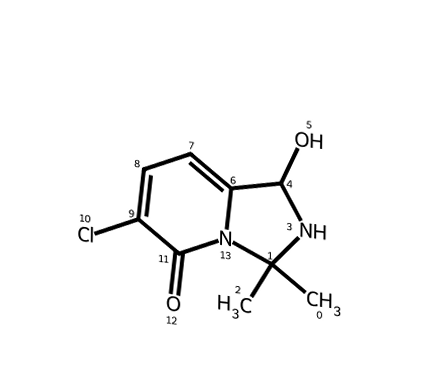 CC1(C)NC(O)c2ccc(Cl)c(=O)n21